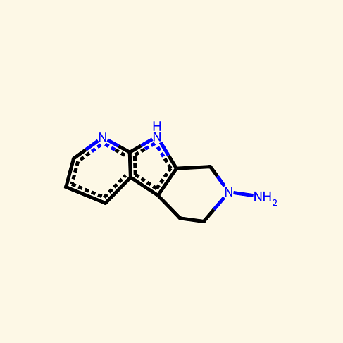 NN1CCc2c([nH]c3ncccc23)C1